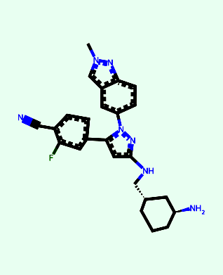 Cn1cc2cc(-n3nc(NC[C@H]4CCC[C@H](N)C4)cc3-c3ccc(C#N)c(F)c3)ccc2n1